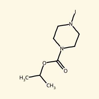 CC(C)OC(=O)N1CCN(I)CC1